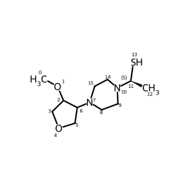 COC1COCC1N1CCN([C@H](C)S)CC1